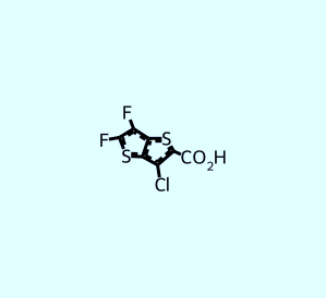 O=C(O)c1sc2c(F)c(F)sc2c1Cl